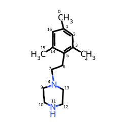 Cc1cc(C)c(CCN2CCNCC2)c(C)c1